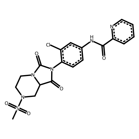 CS(=O)(=O)N1CCN2C(=O)N(c3ccc(NC(=O)c4ccccn4)cc3Cl)C(=O)C2C1